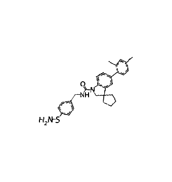 Cc1ccc(-c2ccc3c(c2)C2(CCCC2)CN3C(=O)NCc2ccc(SN)cc2)c(C)c1